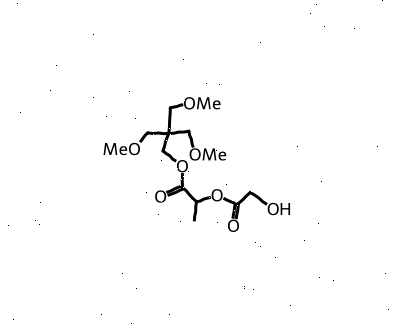 COCC(COC)(COC)COC(=O)C(C)OC(=O)CO